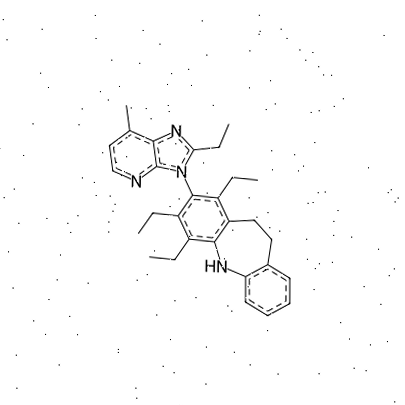 CCc1c(CC)c(-n2c(CC)nc3c(C)ccnc32)c(CC)c2c1Nc1ccccc1CC2